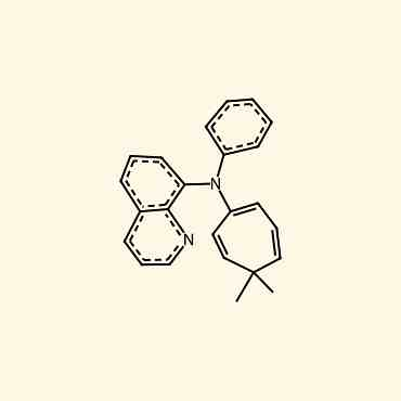 CC1(C)C=CC=C(N(c2ccccc2)c2cccc3cccnc23)C=C1